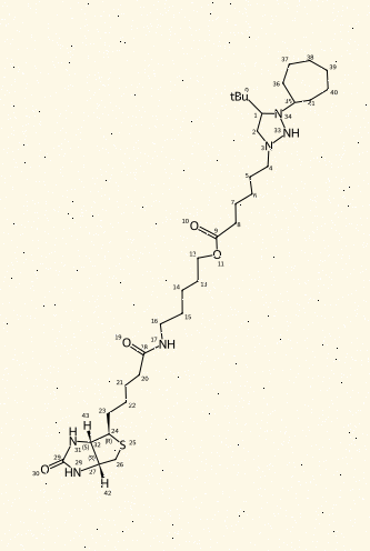 CC(C)(C)C1CN(CCCCCC(=O)OCCCCCNC(=O)CCCC[C@H]2SC[C@@H]3NC(=O)N[C@@H]32)NN1C1CCCCCC1